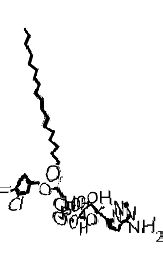 CCCCCCCCCCCCCCCCCCOC[C@H](COP(=O)(O)OC1[C@H]2O[C@@](C)(c3ccc4c(N)ncnn34)[C@H](O)[C@@]12O)OCc1ccc(F)c(Cl)c1